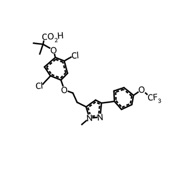 Cn1nc(-c2ccc(OC(F)(F)F)cc2)cc1CCOc1cc(Cl)c(OC(C)(C)C(=O)O)cc1Cl